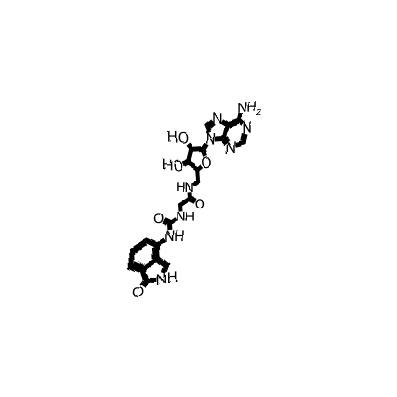 Nc1ncnc2c1ncn2C1OC(CNC(=O)CNC(=O)Nc2cccc3c2CNC3=O)C(O)C1O